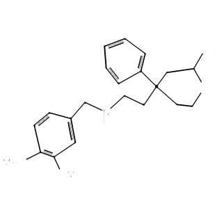 COc1ccc(CNCCC2(c3ccccc3)CCOC(C(C)C)C2)cc1OC